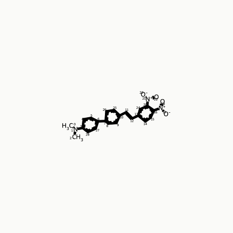 CN(C)c1ccc(-c2ccc(/C=C/c3ccc([N+](=O)[O-])c([N+](=O)[O-])c3)cc2)cc1